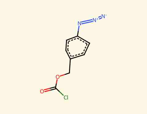 [N-]=[N+]=Nc1ccc(COC(=O)Cl)cc1